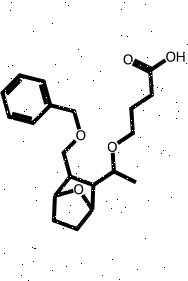 CC(OCCCC(=O)O)C1C2CCC(O2)C1COCc1ccccc1